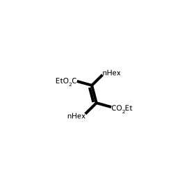 CCCCCC/C(C(=O)OCC)=C(/CCCCCC)C(=O)OCC